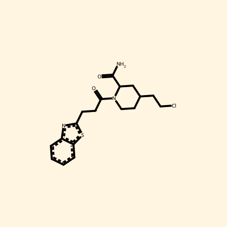 NC(=O)C1CC(CCCl)CCN1C(=O)[CH]Cc1nc2ccccc2s1